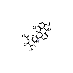 CCCCNn1c(O)c(/N=N/c2cccc3c2C(=O)c2c(Cl)ccc(Cl)c2C3=O)c(C)c(C#N)c1=O